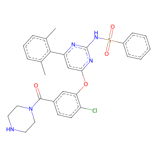 Cc1cccc(C)c1-c1cc(Oc2cc(C(=O)N3CCNCC3)ccc2Cl)nc(NS(=O)(=O)c2ccccc2)n1